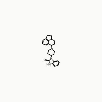 O=c1[nH]c2ccccc2n1C1CCN(C2CCC3CCc4cccc2c43)CC1